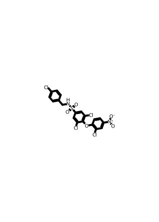 O=[N+]([O-])c1ccc(Oc2c(Cl)cc(S(=O)(=O)NCc3ccc(Cl)cc3)cc2Cl)c(Cl)c1